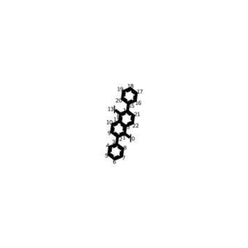 Ic1c(-c2ccccc2)ccc2c(I)c(-c3ccccc3)ccc12